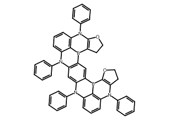 c1ccc(N2C3=C(OCC3)B3c4cc5c(cc4N(c4ccccc4)c4cccc2c43)N(c2ccccc2)c2cccc3c2B5C2=C(OCC2)N3c2ccccc2)cc1